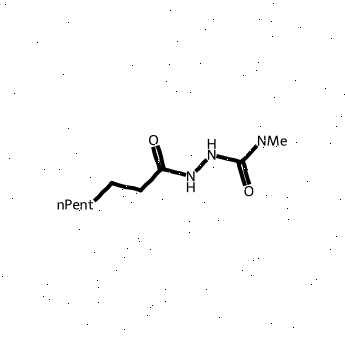 CCCCCCCC(=O)NNC(=O)NC